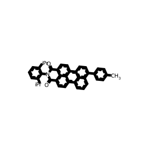 Cc1ccc(-c2ccc3c4ccc5c6c(ccc(c7cccc2c73)c64)C(=O)N(c2c(C(C)C)cccc2C(C)C)C5=O)cc1